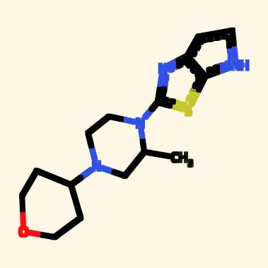 CC1CN(C2CCOCC2)CCN1c1nc2cc[nH]c2s1